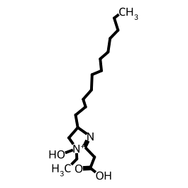 CCCCCCCCCCCCC1C[N+](O)(CC)C(CC(=O)O)=N1